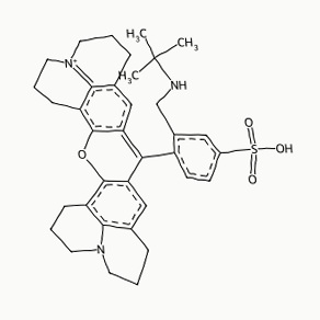 CC(C)(C)NCc1cc(S(=O)(=O)O)ccc1C1=c2cc3c4c(c2Oc2c1cc1c5c2CCCN5CCC1)CCC[N+]=4CCC3